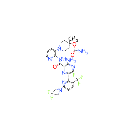 CC1(OC(N)=O)CCN(c2cccnc2NC(=O)c2nc(-c3nc(N4CC(F)(F)C4)ccc3C(F)(F)F)cnc2N)CC1